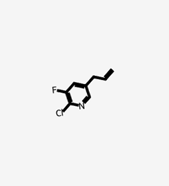 C=CCc1cnc(Cl)c(F)c1